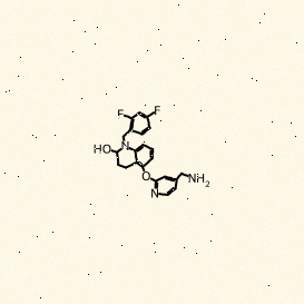 NCc1ccnc(Oc2cccc3c2CCC(O)N3Cc2ccc(F)cc2F)c1